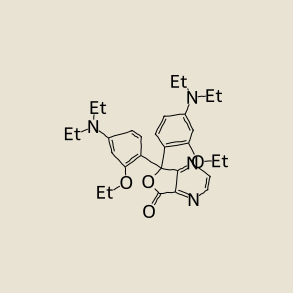 CCOc1cc(N(CC)CC)ccc1C1(c2ccc(N(CC)CC)cc2OCC)OC(=O)c2nccnc21